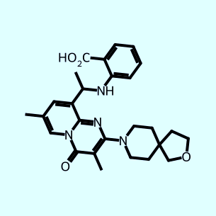 Cc1cc(C(C)Nc2ccccc2C(=O)O)c2nc(N3CCC4(CCOC4)CC3)c(C)c(=O)n2c1